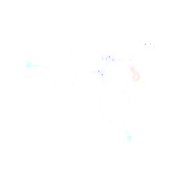 COC(=O)NN(c1ccc(F)cc1)c1ccc(F)cc1